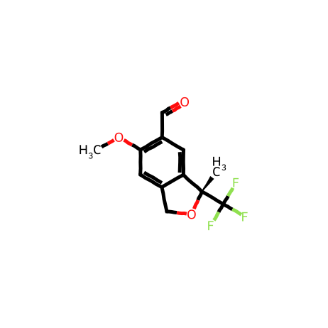 COc1cc2c(cc1C=O)[C@](C)(C(F)(F)F)OC2